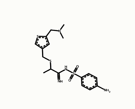 CC(SCc1csc(CN(C)C)c1)C(=N)NS(=O)(=O)c1ccc(N)cc1